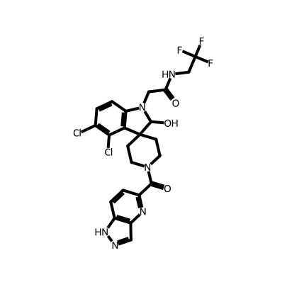 O=C(CN1c2ccc(Cl)c(Cl)c2C2(CCN(C(=O)c3ccc4[nH]ncc4n3)CC2)C1O)NCC(F)(F)F